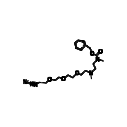 CN(CCOCCOCCOCCN=[N+]=[N-])CCN(C)C(=O)OCc1ccccc1